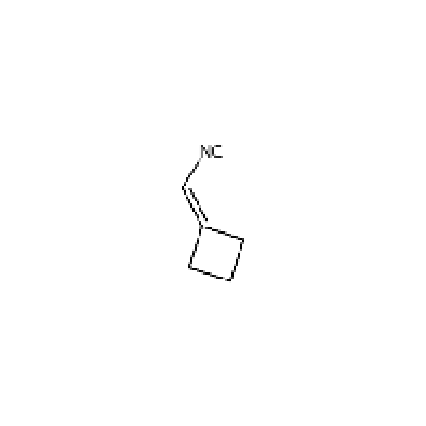 [C-]#[N+]C=C1CCC1